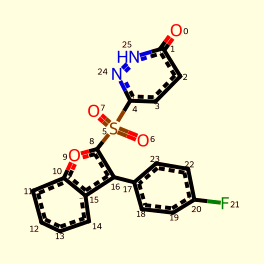 O=c1ccc(S(=O)(=O)c2oc3ccccc3c2-c2ccc(F)cc2)n[nH]1